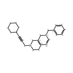 C(#CC1CCCCC1)CN1CCC2=C(CN(Cc3ccccc3)C=N2)C1